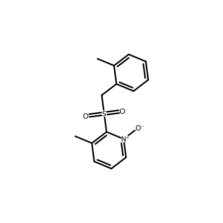 Cc1ccccc1CS(=O)(=O)c1c(C)ccc[n+]1[O-]